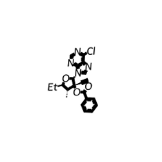 C#C[C@@]1(OC(=O)c2ccccc2)[C@H](C)[C@@H](CC)O[C@H]1n1cnc2c(Cl)ncnc21